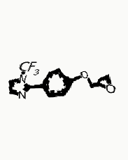 FC(F)(F)n1ccnc1-c1ccc(OCC2CO2)cc1